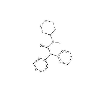 CN(C(=O)C(c1ccccc1)c1ccccc1)C1CC[N]CC1